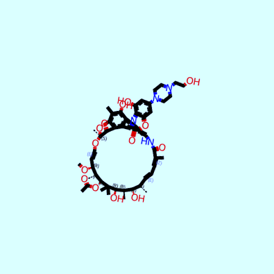 CO[C@H]1/C=C/O[C@@]2(C)Oc3c(C)c(O)c4c(=O)c(c5oc6cc(N7CCN(CCO)CC7)cc(O)c6nc-5c4c3C2=O)NC(=O)/C(C)=C\C=C\[C@H](C)[C@H](O)[C@@H](C)[C@@H](O)C(C)(C)[C@H](OC(C)=O)[C@@H]1C